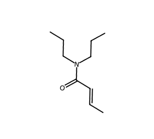 C/C=C/C(=O)N(CCC)CCC